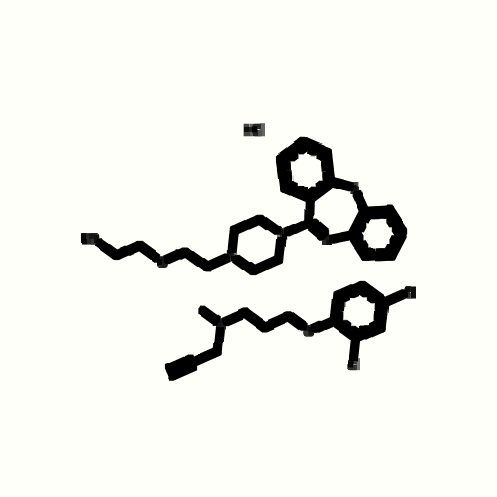 C#CCN(C)CCCOc1ccc(Cl)cc1Cl.Cl.OCCOCCN1CCN(C2=Nc3ccccc3Sc3ccccc32)CC1